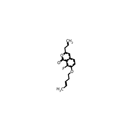 C=CCc1cc2ccc(OCC/C=C/C)c(F)c2c(=O)o1